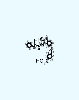 CN1C(=O)/C(=N\NC(=S)NCc2ccccc2)c2cc(SCCc3ccc(C(=O)O)cc3)ccc21